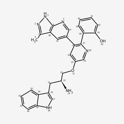 Cc1n[nH]c2ncc(-c3cc(OC[C@@H](N)Cc4c[nH]c5ccccc45)cnc3-c3ccccc3O)cc12